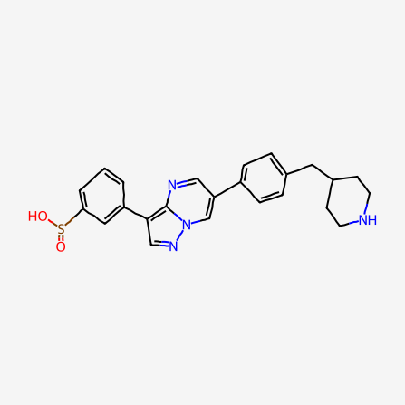 O=S(O)c1cccc(-c2cnn3cc(-c4ccc(CC5CCNCC5)cc4)cnc23)c1